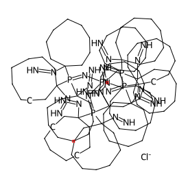 N=NC1(P(=N[P+](N=P(C2(N=N)CCCCCCCC2)(C2(N=N)CCCCCCCC2)C2(N=N)CCCCCCCC2)(N=P(C2(N=N)CCCCCCCC2)(C2(N=N)CCCCCCCC2)C2(N=N)CCCCCCCC2)N=P(C2(N=N)CCCCCCCC2)(C2(N=N)CCCCCCCC2)C2(N=N)CCCCCCCC2)(C2(N=N)CCCCCCCC2)C2(N=N)CCCCCCCC2)CCCCCCCC1.[Cl-]